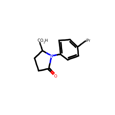 CC(C)c1ccc(N2C(=O)CCC2C(=O)O)cc1